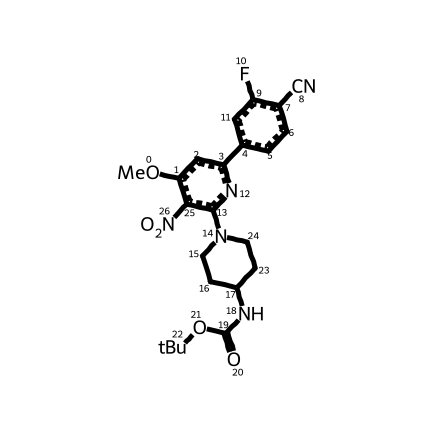 COc1cc(-c2ccc(C#N)c(F)c2)nc(N2CCC(NC(=O)OC(C)(C)C)CC2)c1[N+](=O)[O-]